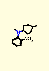 CC1CCC(N(C)c2ccccc2[N+](=O)[O-])CC1